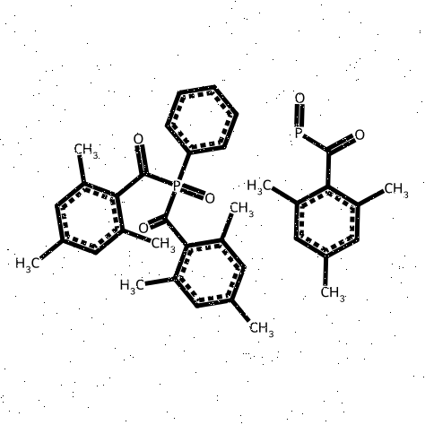 Cc1cc(C)c(C(=O)P(=O)(C(=O)c2c(C)cc(C)cc2C)c2ccccc2)c(C)c1.Cc1cc(C)c(C(=O)P=O)c(C)c1